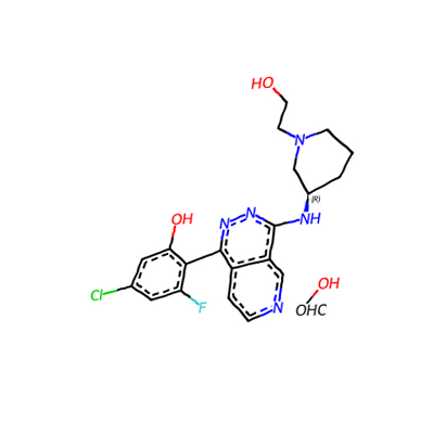 O=CO.OCCN1CCC[C@@H](Nc2nnc(-c3c(O)cc(Cl)cc3F)c3ccncc23)C1